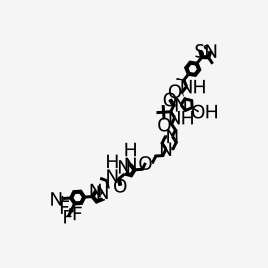 Cc1ncsc1-c1ccc([C@H](C)NC(=O)[C@@H]2C[C@@H](O)CN2C(=O)C(NC(=O)CN2CCN(CCCOCc3cc(C(=O)NC(C)Cn4ccc(-c5ccc(C#N)c(C(F)(F)F)c5)n4)n[nH]3)CC2)C(C)(C)C)cc1